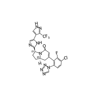 O=C1C=C(c2c(-n3cnnn3)ccc(Cl)c2F)C[C@H]2CC[C@@H](c3ncc(-c4c[nH]nc4C(F)(F)F)[nH]3)N12